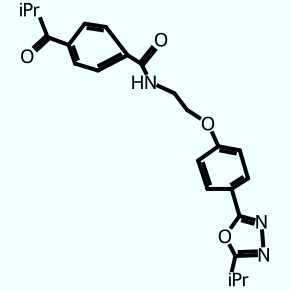 CC(C)C(=O)c1ccc(C(=O)NCCOc2ccc(-c3nnc(C(C)C)o3)cc2)cc1